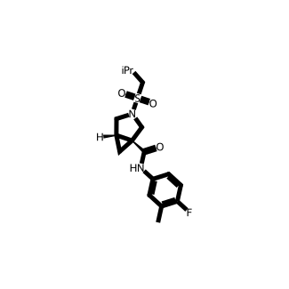 Cc1cc(NC(=O)[C@@]23C[C@@H]2CN(S(=O)(=O)CC(C)C)C3)ccc1F